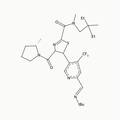 CCC(C)(CC)CN(C)C(=O)C1=NC(C(=O)N2CCC[C@@H]2C)C(c2cnc(/C=N/C(C)(C)C)cc2C(F)(F)F)S1